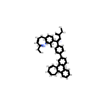 C=C(/C=C(/c1ccc(-c2ccc3c(c2)c2c(c4ccccc43)CC=CC=C2)cc1)c1ccc2c(c1C)N=C(CC)C=CC2)CC